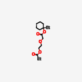 CCC(=O)OCCOCC(=O)OC1(CC)CCCCC1